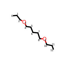 CCCOCCCCCOCCC